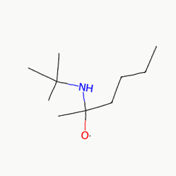 CCCCC(C)([O])NC(C)(C)C